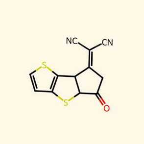 N#CC(C#N)=C1CC(=O)C2Sc3ccsc3C12